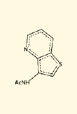 CC(=O)Nc1csc2cccnc12